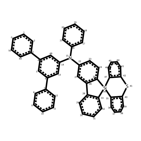 c1ccc(-c2cc(-c3ccccc3)cc(N(c3ccccc3)c3ccc4c(c3)-c3ccccc3[Si]43c4ccccc4Sc4ccccc43)c2)cc1